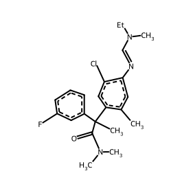 CCN(C)/C=N/c1cc(C)c(C(C)(C(=O)N(C)C)c2cccc(F)c2)cc1Cl